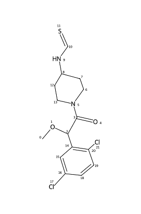 COC(C(=O)N1CCC(NC=S)CC1)c1cc(Cl)ccc1Cl